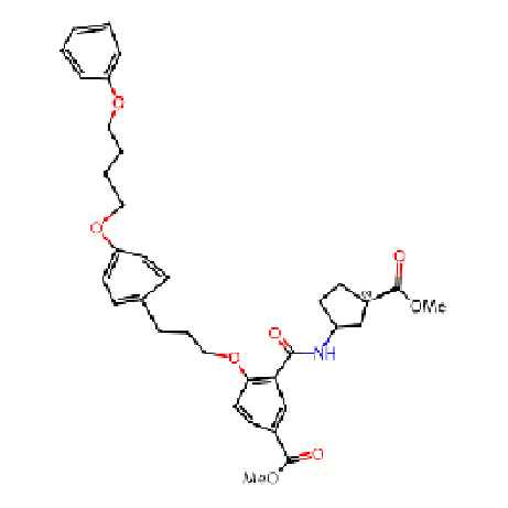 COC(=O)c1ccc(OCCCc2ccc(OCCCCOc3ccccc3)cc2)c(C(=O)NC2CC[C@@H](C(=O)OC)C2)c1